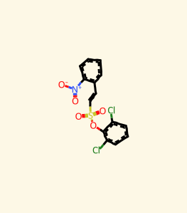 O=[N+]([O-])c1ccccc1/C=C/S(=O)(=O)Oc1c(Cl)cccc1Cl